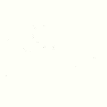 O=C(O)c1cnn(-c2cccc(-c3ccccc3OCc3ccc(Oc4ccc(Cl)cc4)cc3)n2)c1C(F)(F)F